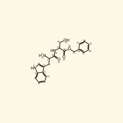 NC(Cc1c[nH]c2ccccc12)C(=O)NC(CO)C(=O)OCc1ccccc1